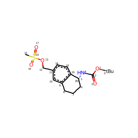 CC(C)(C)OC(=O)N[C@@H]1CCCc2cc(COS(C)(=O)=O)ccc21